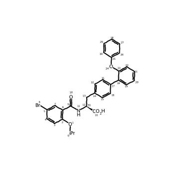 CC(C)Oc1ccc(Br)cc1C(=O)N[C@@H](Cc1ccc(-c2ccccc2Oc2ccccc2)cc1)C(=O)O